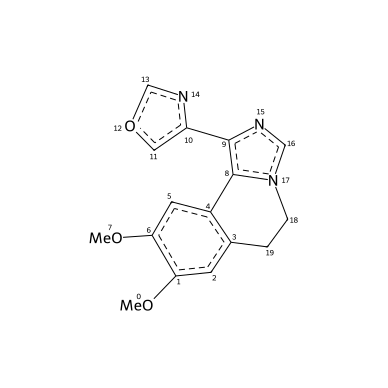 COc1cc2c(cc1OC)-c1c(-c3cocn3)ncn1CC2